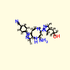 Cc1nn(-c2cc(N)[nH]c3c(C)nn(-c4ccc(C#N)cc4)c3ccn2)c(C)c1CC(C)(C)O